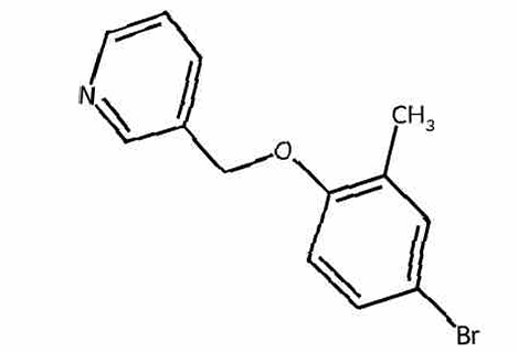 Cc1cc(Br)ccc1OCc1cccnc1